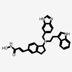 O=C(/C=C/c1ccc2c(c1)CCC2N(CCc1c[nH]c2ccccc12)Cc1ccc2nc[nH]c2c1)NO